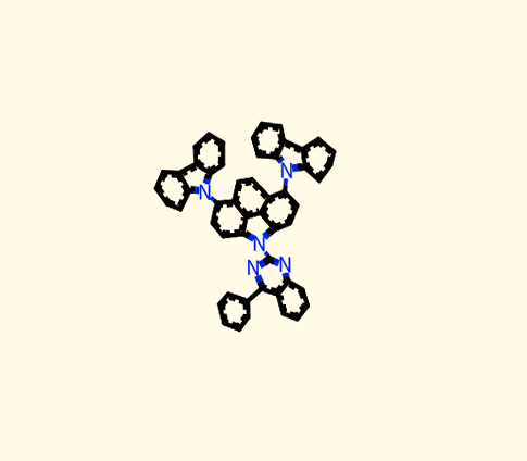 c1ccc(-c2nc(-n3c4ccc(-n5c6ccccc6c6ccccc65)c5ccc6c(-n7c8ccccc8c8ccccc87)ccc3c6c54)nc3ccccc23)cc1